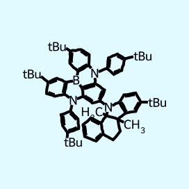 CC(C)(C)c1ccc(N2c3ccc(C(C)(C)C)cc3B3c4cc(C(C)(C)C)ccc4N(c4ccc(C(C)(C)C)cc4)c4cc(N5c6ccc(C(C)(C)C)cc6C6(C)CCc7ccccc7C56C)cc2c43)cc1